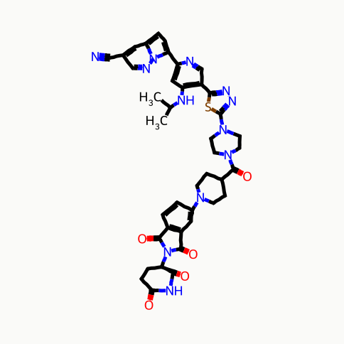 CC(C)Nc1cc(-c2ccc3cc(C#N)cnn23)ncc1-c1nnc(N2CCN(C(=O)C3CCN(c4ccc5c(c4)C(=O)N(C4CCC(=O)NC4=O)C5=O)CC3)CC2)s1